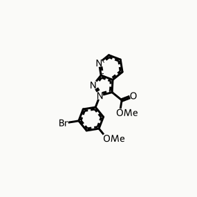 COC(=O)c1c2cccnc2nn1-c1cc(Br)cc(OC)c1